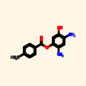 Nc1cc(N)c(OC(=O)c2ccc(C(=O)O)cc2)cc1O